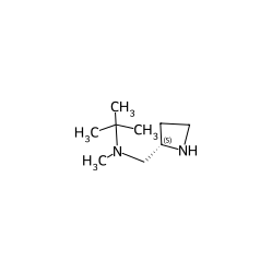 CN(C[C@@H]1CCN1)C(C)(C)C